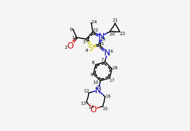 CC(=O)c1s/c(=N\c2ccc(N3CCOCC3)cc2)n(C2CC2)c1C